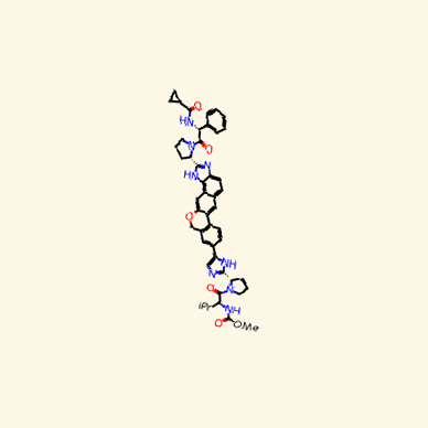 COC(=O)NC(C(=O)N1CCC[C@H]1c1ncc(-c2ccc3c(c2)COc2cc4c(ccc5nc([C@@H]6CCCN6C(=O)[C@H](NC(=O)C6CC6)c6ccccc6)[nH]c54)cc2-3)[nH]1)C(C)C